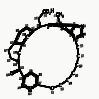 Cc1c2ccc3c1nnn3CCCCCCOc1ccc(nn1)C(=O)N1CCc3ccc(cc3C1)C2CC(=O)O